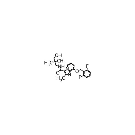 Cc1nc2c(OCc3c(F)cccc3F)cccn2c1C(=O)NCC(C)(C)CO